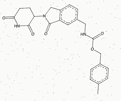 Cc1ccc(COC(=O)NCc2ccc3c(c2)C(=O)N(C2CCC(=O)NC2=O)C3)cc1